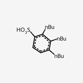 CCCCc1ccc(S(=O)(=O)O)c(CCCC)c1CCCC